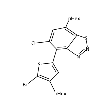 CCCCCCc1cc(-c2c(Cl)cc(CCCCCC)c3snnc23)sc1Br